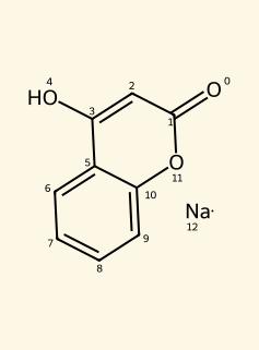 O=c1cc(O)c2ccccc2o1.[Na]